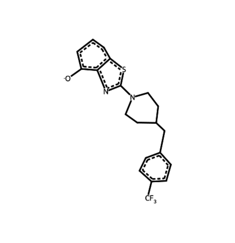 [O]c1cccc2sc(N3CCC(Cc4ccc(C(F)(F)F)cc4)CC3)nc12